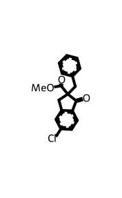 COC(=O)C1(Cc2ccccc2)Cc2cc(Cl)ccc2C1=O